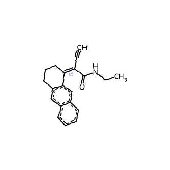 C#C/C(C(=O)NCC)=C1\CCCc2cc3ccccc3cc21